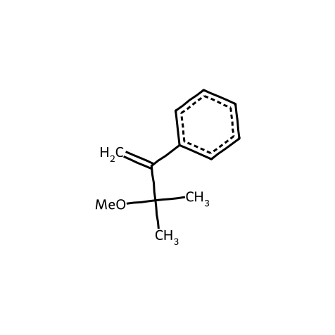 C=C(c1ccccc1)C(C)(C)OC